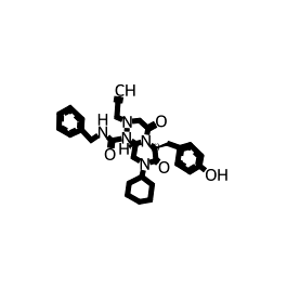 C#CCN1CC(=O)N2[C@@H](Cc3ccc(O)cc3)C(=O)N(C3CCCCC3)C[C@@H]2N1C(=O)NCc1ccccc1